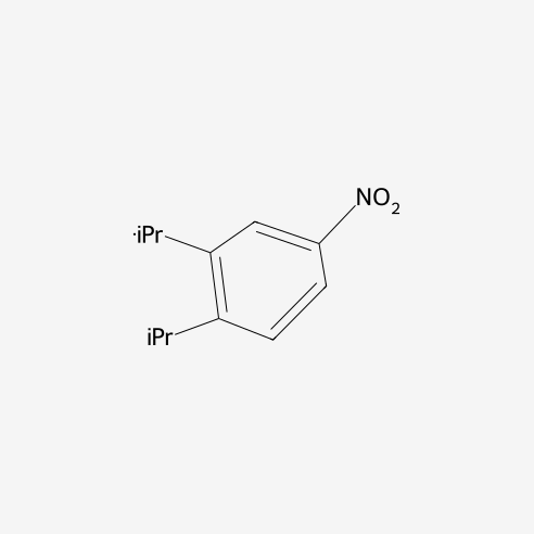 C[C](C)c1cc([N+](=O)[O-])ccc1C(C)C